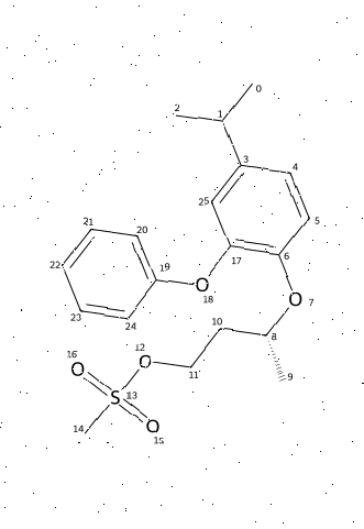 CC(C)c1ccc(O[C@H](C)CCOS(C)(=O)=O)c(Oc2ccccc2)c1